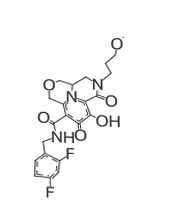 COCCCN1CC2COCc3c(C(=O)NCc4ccc(F)cc4F)c(=O)c(O)c(n32)C1=O